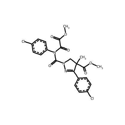 COC(=O)C(=O)N(C(=O)N1CC(C)(C(=O)OC)C(c2ccc(Cl)cc2)=N1)c1ccc(Cl)cc1